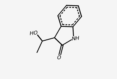 CC(O)C1C(=O)Nc2ccccc21